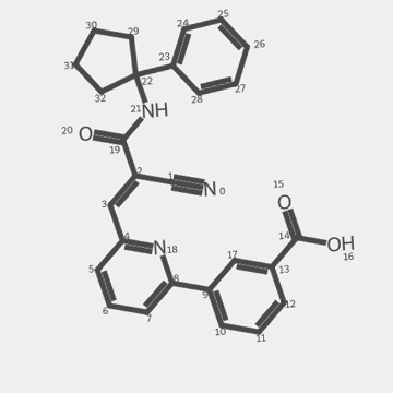 N#C/C(=C\c1cccc(-c2cccc(C(=O)O)c2)n1)C(=O)NC1(c2ccccc2)CCCC1